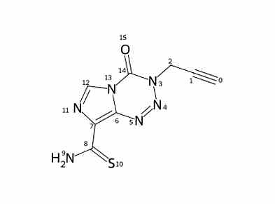 C#CCn1nnc2c(C(N)=S)ncn2c1=O